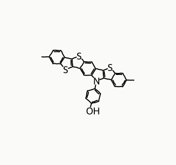 Cc1ccc2c(c1)sc1c3cc4c(cc3sc21)c1sc2cc(C)ccc2c1n4-c1ccc(O)cc1